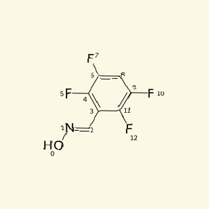 O/N=C/c1c(F)c(F)cc(F)c1F